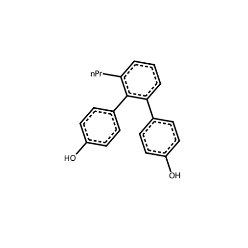 CCCc1cccc(-c2ccc(O)cc2)c1-c1ccc(O)cc1